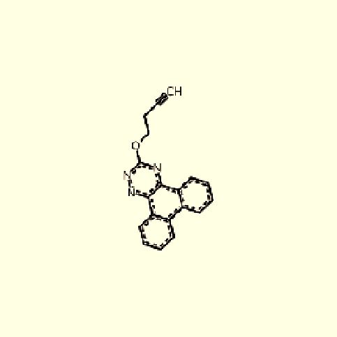 C#CCCOc1nnc2c3ccccc3c3ccccc3c2n1